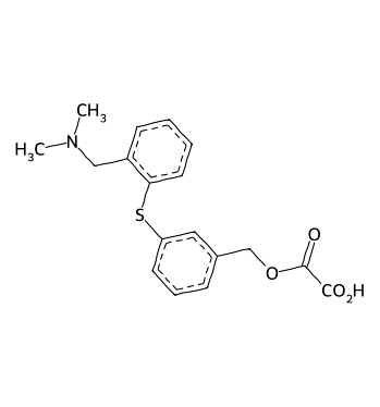 CN(C)Cc1ccccc1Sc1cccc(COC(=O)C(=O)O)c1